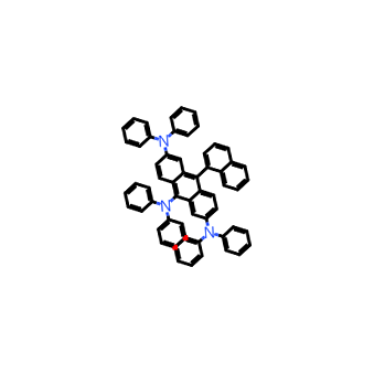 c1ccc(N(c2ccccc2)c2ccc3c(N(c4ccccc4)c4ccccc4)c4cc(N(c5ccccc5)c5ccccc5)ccc4c(-c4cccc5ccccc45)c3c2)cc1